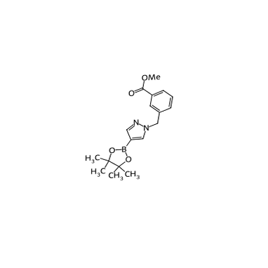 COC(=O)c1cccc(Cn2cc(B3OC(C)(C)C(C)(C)O3)cn2)c1